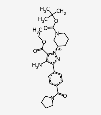 CCOC(=O)c1c(N)c(-c2ccc(C(=O)N3CCCC3)cc2)nn1[C@@H]1CCCN(C(=O)OC(C)(C)C)C1